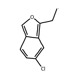 [CH2]Cc1occ2ccc(Cl)cc12